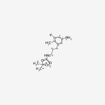 Cc1c(F)cc(N)cc1CCCNC(=O)OC(C)(C)C